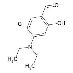 CCN(CC)c1ccc(C=O)c(O)c1.[C]